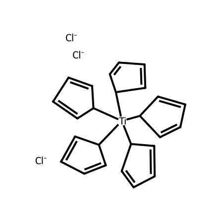 C1=C[CH]([Ti]([CH]2C=CC=C2)([CH]2C=CC=C2)([CH]2C=CC=C2)[CH]2C=CC=C2)C=C1.[Cl-].[Cl-].[Cl-]